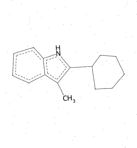 Cc1c(C2CCCCC2)[nH]c2ccccc12